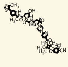 Cc1ncsc1-c1ccc([C@H](C)NC(=O)[C@@H]2C[C@@H](O)CN2C(=O)C(NC(=O)CC2(CN3CCN(c4ccc(C(=O)NC5C(C)(C)C(Oc6ccc(C#N)c(Cl)c6)C5(C)C)cn4)CC3)COC2)C(C)(C)C)cc1